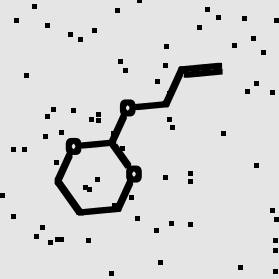 C=CCOC1OCCCO1